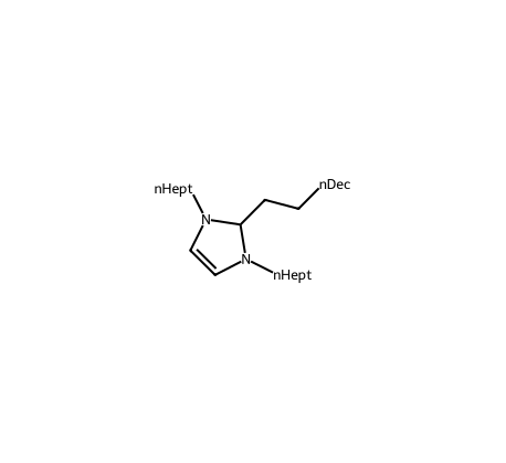 CCCCCCCCCCCCC1N(CCCCCCC)C=CN1CCCCCCC